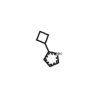 c1c[nH]c(C2CCC2)c1